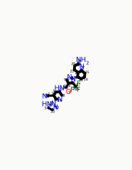 N#Cc1cc(NC(=O)c2cnn(-c3cccc4nc(N)ccc34)c2C(F)(F)F)cnc1N1N=CCN1